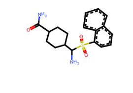 NC(=O)C1CCC(C(N)S(=O)(=O)c2cccc3ccccc23)CC1